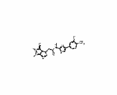 Cn1c(=O)c2c(CC(=O)Nc3nc(-c4ccc(C(F)(F)F)c(F)c4)cs3)csc2n1C